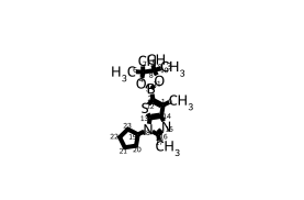 Cc1c(B2OC(C)(C)C(C)(C)O2)sc2c1nc(C)n2C1CCCC1